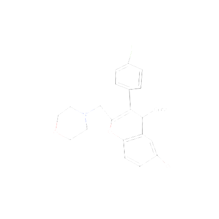 O=CC1C(c2ccc(F)cc2)=C(CN2CCOCC2)Oc2ccc(Br)cc21